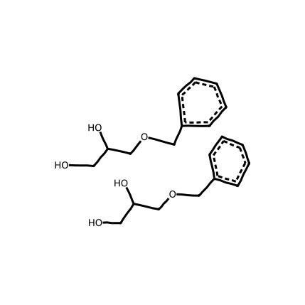 OCC(O)COCc1ccccc1.OCC(O)COCc1ccccc1